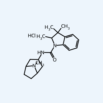 CC1N(C(=O)NC2CC3CCC(C2)N3C)c2ccccc2C1(C)C.Cl